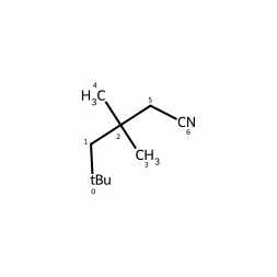 CC(C)(C)CC(C)(C)CC#N